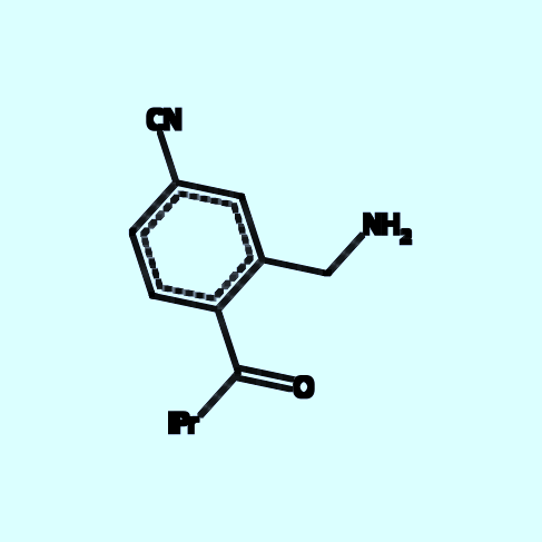 CC(C)C(=O)c1ccc(C#N)cc1CN